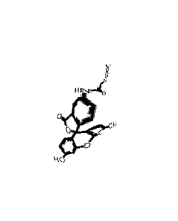 [N-]=[N+]=NCC(=O)Nc1ccc2c(c1)C(=O)OC21c2ccc(O)cc2Oc2cc(O)ccc21